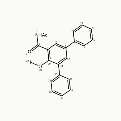 CC(=O)NC(=O)c1cc(-c2ccccc2)cc(-c2ccccc2)c1OI